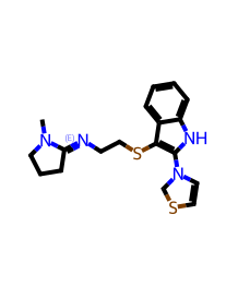 CN1CCC/C1=N\CCSc1c(N2C=CSC2)[nH]c2ccccc12